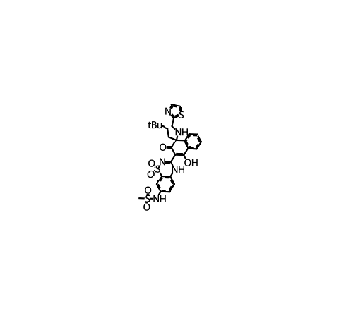 CC(C)(C)CCC1(NCc2nccs2)C(=O)C(C2=NS(=O)(=O)c3cc(NS(C)(=O)=O)ccc3N2)=C(O)c2ccccc21